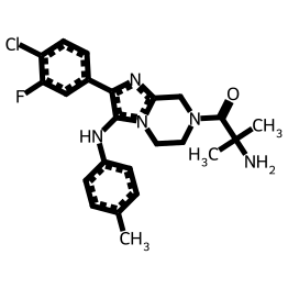 Cc1ccc(Nc2c(-c3ccc(Cl)c(F)c3)nc3n2CCN(C(=O)C(C)(C)N)C3)cc1